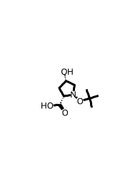 CC(C)(C)ON1C[C@@H](O)C[C@H]1C(=O)O